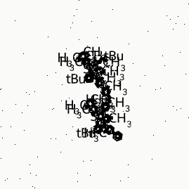 CC/C(=C\C=C(/C)C(C)(C)C)N1c2cc(C)cc3c2B(c2cc(C(C)(C)C)ccc2N3c2ccc(-c3ccc(CC(C)(C)c4ccc(N5c6cc(C)cc7c6C(Cc6cc(C(C)(C)C)ccc6N7C6=C(C)C=C(c7ccccc7)CC6)C6SC7=C(CC8C(=C7)C(C)(C)CCC8(C)C)C65)cc4)cc3C)cc2C)c2sc3cc4c(cc3c21)C(C)(C)CCC4(C)C